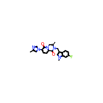 Cc1cn(-c2ccc3n(c2=O)C[C@@H](C)N(Cc2cn(C)c4cc(F)ccc24)C3=O)cn1